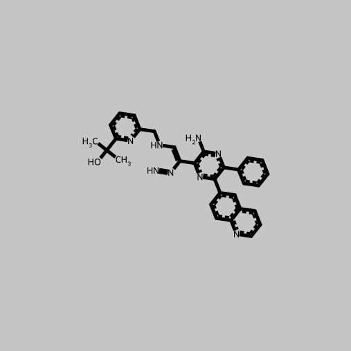 CC(C)(O)c1cccc(CN/C=C(\N=N)c2nc(-c3ccc4ncccc4c3)c(-c3ccccc3)nc2N)n1